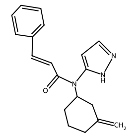 C=C1CCCC(N(C(=O)/C=C/c2ccccc2)c2ccn[nH]2)C1